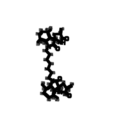 C=C1CC2(NC1=O)C(=O)N(CCCCCCCN1C(=O)C3(CC(=C)C(=O)N3)c3c(C)ccc(C)c31)c1c(C)ccc(C)c12